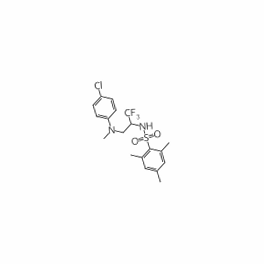 Cc1cc(C)c(S(=O)(=O)NC(CN(C)c2ccc(Cl)cc2)C(F)(F)F)c(C)c1